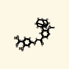 COc1ccc(C(=O)COc2ccc(C(=O)O)c(O)c2)cc1C12CC3CC(CC(C3)C1)C2